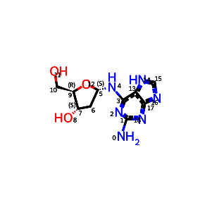 Nc1nc(N[C@@H]2C[C@H](O)[C@@H](CO)O2)c2[nH]cnc2n1